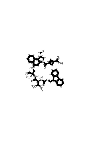 CC(C)[C@H](NC(=O)OCC1c2ccccc2-c2ccccc21)C(=O)N[C@@](C)(C=O)CNc1cc2c(c3ccccc13)[C@H](CCl)CN2C(=O)C12CC(C(=O)O)(C1)C2